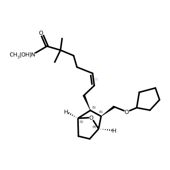 CN(O)C(=O)C(C)(C)CC/C=C\C[C@H]1[C@@H](COC2CCCC2)[C@H]2CC[C@@H]1O2